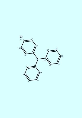 [C].c1ccc([C](c2ccccc2)c2ccccc2)cc1